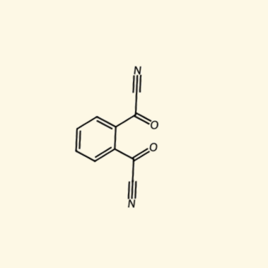 N#CC(=O)c1ccccc1C(=O)C#N